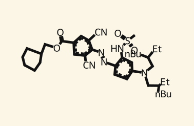 CCCCC(CC)CN(CC(CC)CCCC)c1ccc(N=Nc2c(C#N)cc(C(=O)OCC3CCCCC3)cc2C#N)c(NS(C)(=O)=O)c1